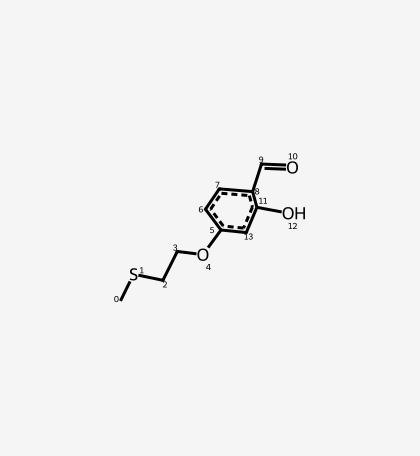 CSCCOc1ccc(C=O)c(O)c1